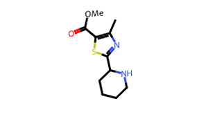 COC(=O)c1sc(C2CCCCN2)nc1C